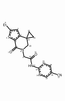 CCc1cc2c(s1)C(=O)N(CC(=O)Nc1ncc(C#N)cn1)CC21CC1